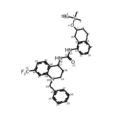 CC(C)(C)[Si](C)(C)OC1CCc2cccc(NC(=O)NC3CCN(Cc4ccccc4)c4cc(C(F)(F)F)ccc43)c2C1